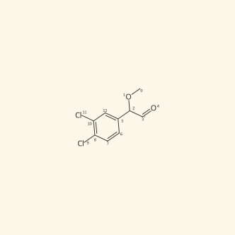 COC([C]=O)c1ccc(Cl)c(Cl)c1